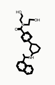 CC(NC1CCCC(c2ccc(C(=O)N(CCO)CCO)cc2)C1)c1cccc2ccccc12